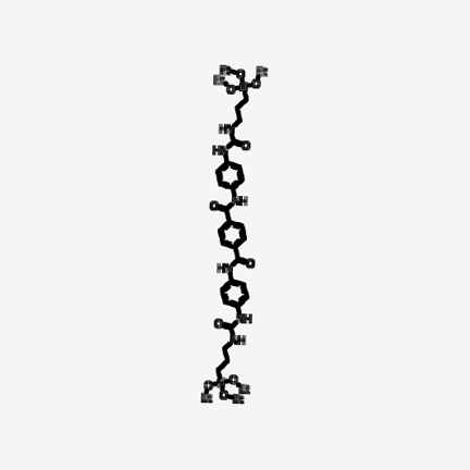 CCO[Si](CCCNC(=O)Nc1ccc(NC(=O)c2ccc(C(=O)Nc3ccc(NC(=O)NCCC[Si](OCC)(OCC)OCC)cc3)cc2)cc1)(OCC)OCC